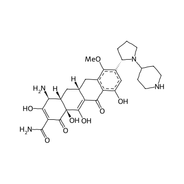 COc1c([C@@H]2CCCN2C2CCNCC2)cc(O)c2c1C[C@H]1C[C@H]3[C@H](N)C(O)=C(C(N)=O)C(=O)[C@@]3(O)C(O)=C1C2=O